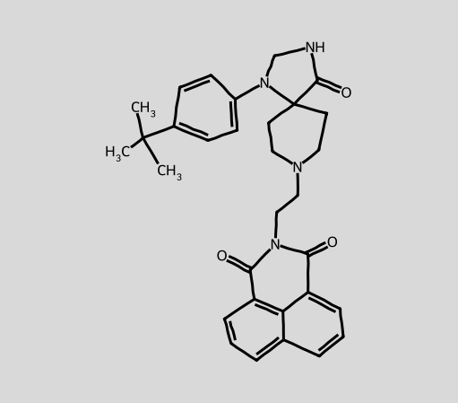 CC(C)(C)c1ccc(N2CNC(=O)C23CCN(CCN2C(=O)c4cccc5cccc(c45)C2=O)CC3)cc1